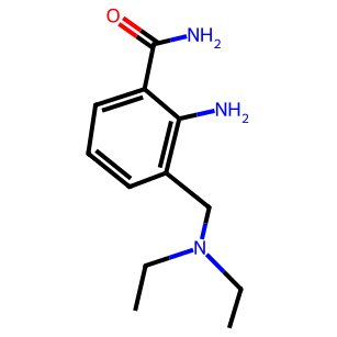 CCN(CC)Cc1cccc(C(N)=O)c1N